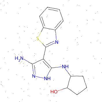 Nc1n[nH]c(NC2CCCC2O)c1-c1nc2ccccc2s1